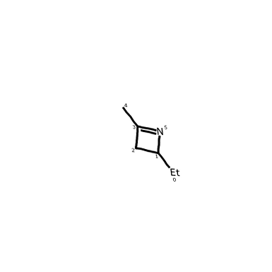 CCC1CC(C)=N1